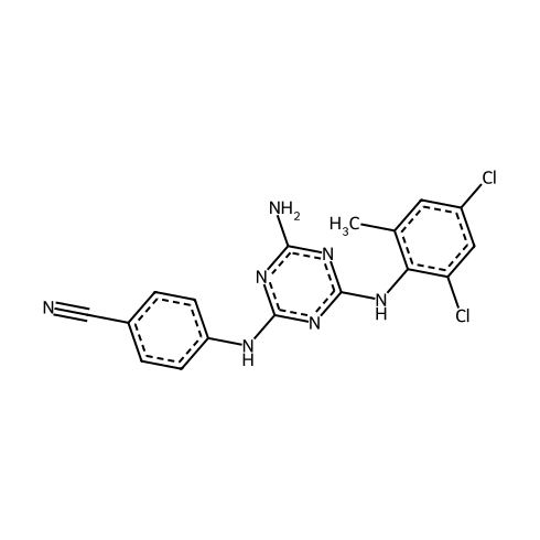 Cc1cc(Cl)cc(Cl)c1Nc1nc(N)nc(Nc2ccc(C#N)cc2)n1